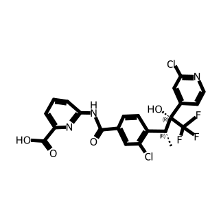 C[C@H](c1ccc(C(=O)Nc2cccc(C(=O)O)n2)cc1Cl)[C@@](O)(c1ccnc(Cl)c1)C(F)(F)F